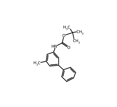 Cc1cc(NC(=O)OC(C)(C)C)cc(-c2ccccc2)c1